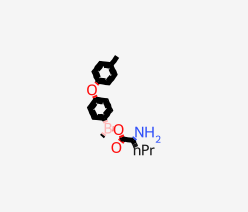 CCCC(N)C(=O)OB(C)c1ccc(Oc2ccc(C)cc2)cc1